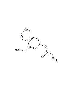 C=CC(=O)OC1C=C(CC)C(/C=C\C)=CC1